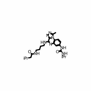 Cc1nnc2c(NCCCCNC(=O)CC(C)C)nc3cc(NC(=O)NC(C)C)ccc3n12